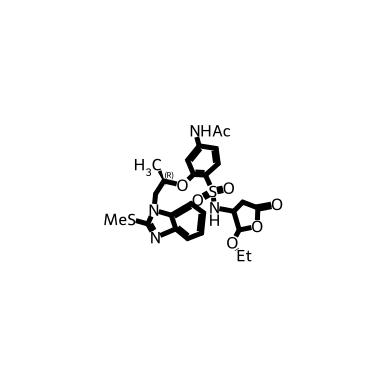 CCOC1OC(=O)CC1NS(=O)(=O)c1ccc(NC(C)=O)cc1O[C@H](C)Cn1c(SC)nc2ccccc21